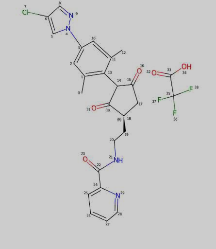 Cc1cc(-n2cc(Cl)cn2)cc(C)c1C1C(=O)C[C@@H](CCNC(=O)c2ccccn2)C1=O.O=C(O)C(F)(F)F